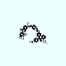 CCC(=C(c1ccc(O)cc1)c1ccc(OCCN2CCC(CCNc3ccc4c(c3)CN(C3CCC(=O)NC3=O)C4=O)CC2)cc1)c1ccccc1